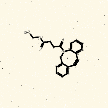 O=CCNC(=O)CCC(=O)N1Cc2ccccc2C#Cc2ccccc21